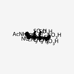 CC(=O)Nc1cccc2c1nc1c(C#N)c(C)c(N=Nc3cc(C)c(N=Nc4cc(C)c(N=Nc5nc6c(S(=O)(=O)O)cc7ccc(S(=O)(=O)O)cc7c6s5)cc4SCCCS(=O)(=O)O)cc3OCCCS(=O)(=O)O)c(O)n12